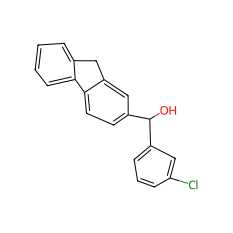 OC(c1cccc(Cl)c1)c1ccc2c(c1)Cc1ccccc1-2